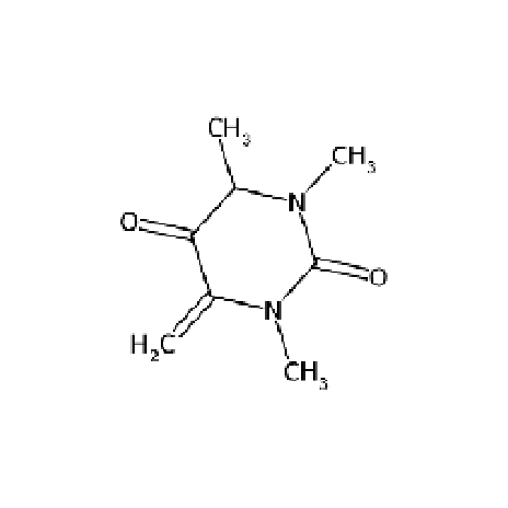 C=C1C(=O)C(C)N(C)C(=O)N1C